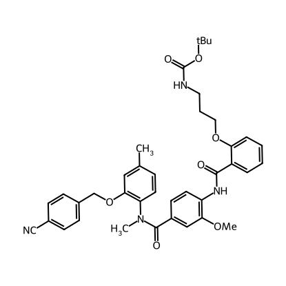 COc1cc(C(=O)N(C)c2ccc(C)cc2OCc2ccc(C#N)cc2)ccc1NC(=O)c1ccccc1OCCCNC(=O)OC(C)(C)C